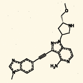 COC[C@H]1CC(n2nc(C#Cc3ccc4c(c3)ncn4C)c3c(N)nccc32)CN1